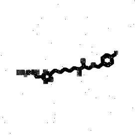 O=C(O)NCc1noc(CCCCCNC(=O)COCc2ccc(F)cc2)n1